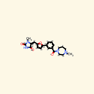 CN1CCCN(C(=O)c2cccc(-c3ccc(/C=C4\C(=O)NC(=O)N4C)o3)c2)CC1